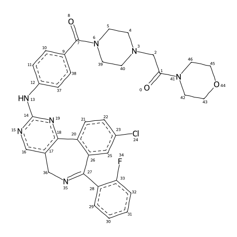 O=C(CN1CCN(C(=O)c2ccc(Nc3ncc4c(n3)-c3ccc(Cl)cc3C(c3ccccc3F)=NC4)cc2)CC1)N1CCOCC1